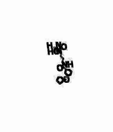 NC(=O)N(O)CCCCNC(=O)c1cccc(Oc2ccccc2)c1